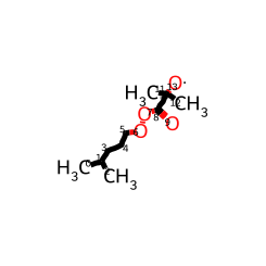 CC(C)CCCOOC(=O)C(C)(C)[O]